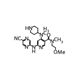 COCCN(C)C(=O)c1cnc(Nc2cnc(C#N)cn2)cc1N(C)C1CCNCC1